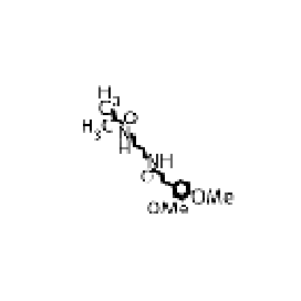 C/C=C(\C)C(=O)NCCCCNC(=O)/C=C/c1ccc(OC)c(OC)c1